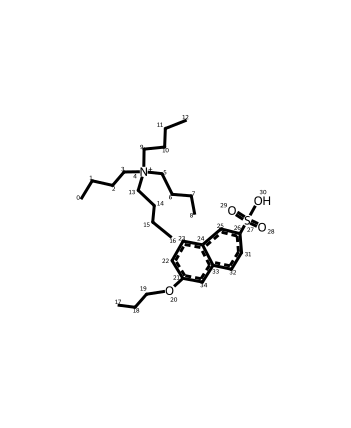 CCCC[N+](CCCC)(CCCC)CCCC.CCCOc1ccc2cc(S(=O)(=O)O)ccc2c1